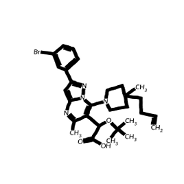 C=CCCC1(C)CCN(c2c(C(OC(C)(C)C)C(=O)O)c(C)nc3cc(-c4cccc(Br)c4)nn23)CC1